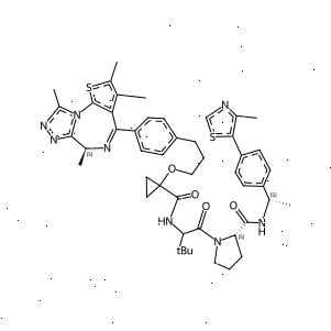 Cc1ncsc1-c1ccc([C@H](C)NC(=O)[C@@H]2CCCN2C(=O)C(NC(=O)C2(OCCCc3ccc(C4=N[C@@H](C)c5nnc(C)n5-c5sc(C)c(C)c54)cc3)CC2)C(C)(C)C)cc1